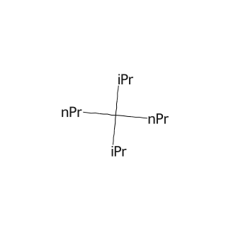 CCCC(CCC)(C(C)C)C(C)C